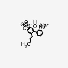 CCCCc1cccc(O)c1-c1ccccc1.O=S(=O)([O-])[O-].[Na+].[Na+]